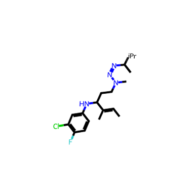 C/C=C(\C)C(CCN(C)/N=N\C(C)C(C)C)Nc1ccc(F)c(Cl)c1